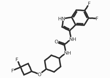 O=C(Nc1c[nH]c2cc(F)c(F)cc12)NC1CCC(OC2CC(F)(F)C2)CC1